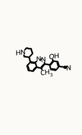 Cc1c(-c2ccc(C#N)cc2O)nnc2c(C3CCCNC3)cccc12